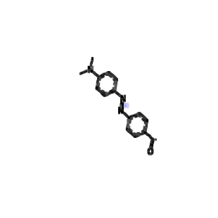 CN(C)c1ccc(/N=N/c2ccc([C]=O)cc2)cc1